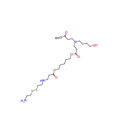 COC(=O)CCN(CCCCO)CCC(=O)OCCCCCOC(=O)CCNCCSSCCN